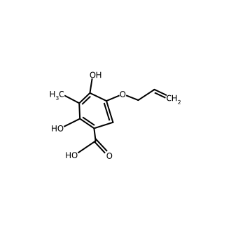 C=CCOc1cc(C(=O)O)c(O)c(C)c1O